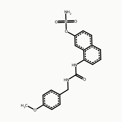 COc1ccc(CNC(=O)Nc2cccc3ccc(OS(N)(=O)=O)cc23)cc1